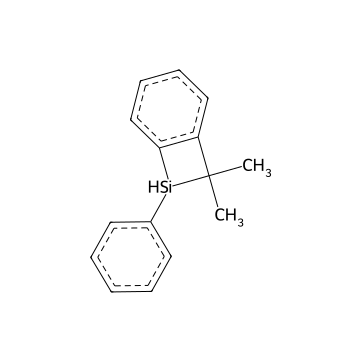 CC1(C)c2ccccc2[SiH]1c1ccccc1